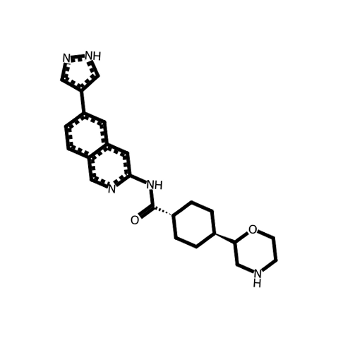 O=C(Nc1cc2cc(-c3cn[nH]c3)ccc2cn1)[C@H]1CC[C@H](C2CNCCO2)CC1